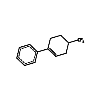 FC(F)(F)C1CC=C(c2ccccc2)CC1